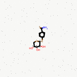 NC(=S)c1ccc(S[C@@H]2SC[C@@H](O)[C@@H](O)[C@@H]2O)cc1